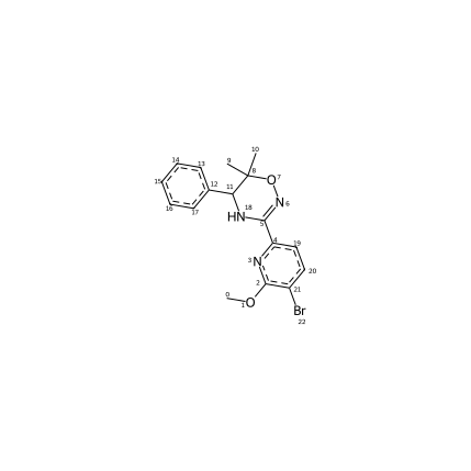 COc1nc(C2=NOC(C)(C)C(c3ccccc3)N2)ccc1Br